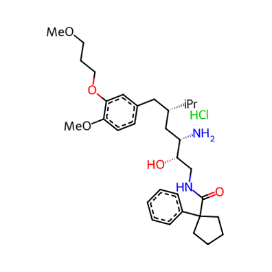 COCCCOc1cc(C[C@@H](C[C@H](N)[C@@H](O)CNC(=O)C2(c3ccccc3)CCCC2)C(C)C)ccc1OC.Cl